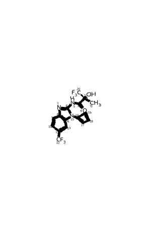 C[C@@](O)(C(=O)Nc1nc2ccc(C(F)(F)F)cc2n1C1=CC=C1)C(F)(F)F